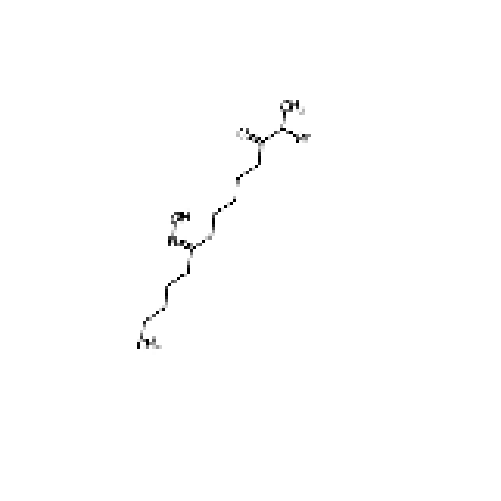 CCCCCC(CCCCCC(=O)C(C)Br)=NO